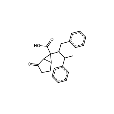 CC(c1ccccc1)N(Cc1ccccc1)C1(C(=O)O)C2CCC(=O)C21